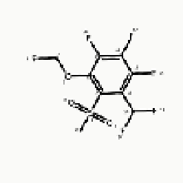 CS(=O)(=O)c1c(OCF)c(F)c(F)c(F)c1C(F)F